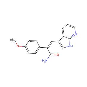 CCCCOc1ccc(C(=Cc2c[nH]c3ncccc23)C(N)=O)cc1